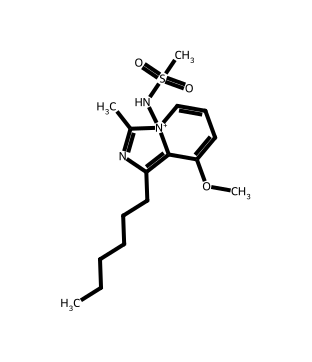 CCCCCCC1=C2C(OC)=CC=C[N+]2(NS(C)(=O)=O)C(C)=N1